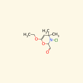 CCOC1=CC(C)(C)N(Cl)C(C=O)O1